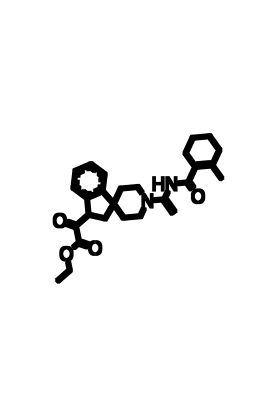 C=C(NC(=O)C1=C(C)CCCC1)N1CCC2(CC1)CC(C(=O)C(=O)OCC)c1ccccc12